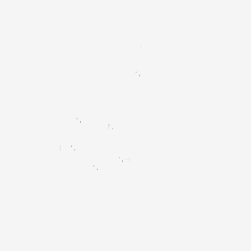 Nc1ncc(C2=CCN(C(=O)C3CCCC3)CC2)nc1-c1nc2ccccc2[nH]1